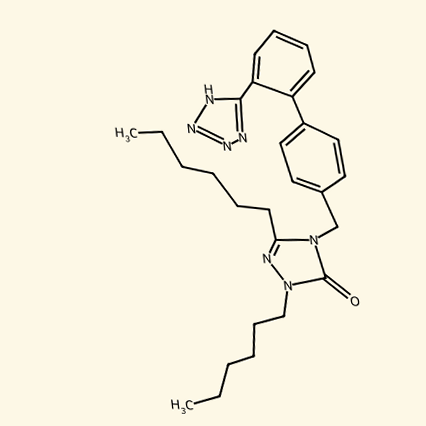 CCCCCCc1nn(CCCCCC)c(=O)n1Cc1ccc(-c2ccccc2-c2nnn[nH]2)cc1